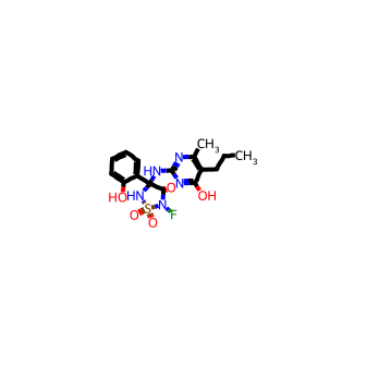 CCCc1c(C)nc(NC2(c3ccccc3O)NS(=O)(=O)N(F)C2=O)nc1O